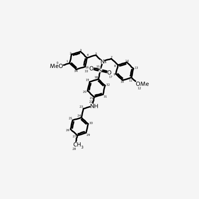 COc1ccc(CN(Cc2ccc(OC)cc2)S(=O)(=O)c2ccc(NCc3ccc(C)cc3)cc2)cc1